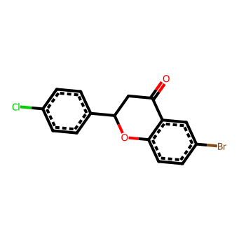 O=C1CC(c2ccc(Cl)cc2)Oc2ccc(Br)cc21